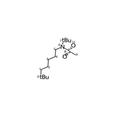 CC(C)(C)CCCCCN(C(C)(C)C)S(C)(=O)=O